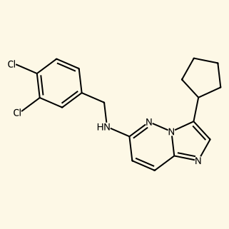 Clc1ccc(CNc2ccc3ncc(C4CCCC4)n3n2)cc1Cl